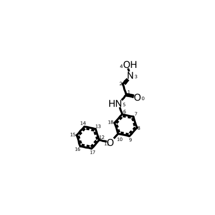 O=C(C=NO)Nc1cccc(Oc2ccccc2)c1